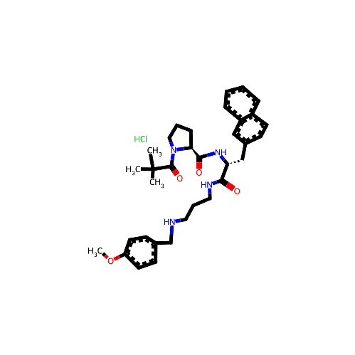 COc1ccc(CNCCCNC(=O)[C@@H](Cc2ccc3ccccc3c2)NC(=O)[C@@H]2CCCN2C(=O)C(C)(C)C)cc1.Cl